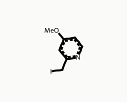 COc1ccnc(CI)c1